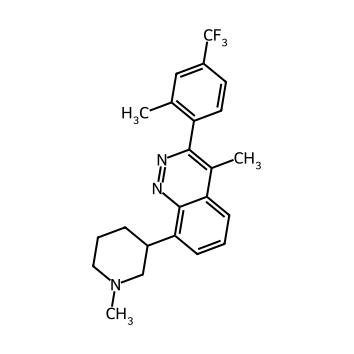 Cc1cc(C(F)(F)F)ccc1-c1nnc2c(C3CCCN(C)C3)cccc2c1C